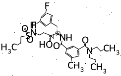 CCCN(CCC)C(=O)c1cc(C)cc(C(=O)N[C@@H](Cc2cc(F)cc(F)c2)[C@@H](O)CCNS(=O)(=O)CCC)c1